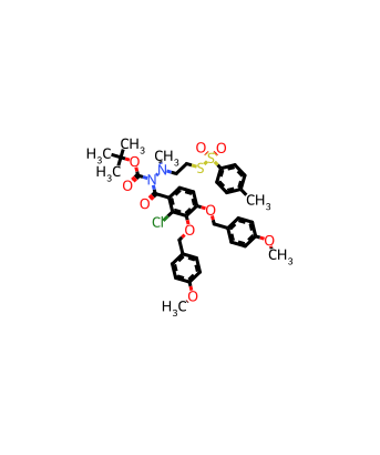 COc1ccc(COc2ccc(C(=O)N(C(=O)OC(C)(C)C)N(C)CCSS(=O)(=O)c3ccc(C)cc3)c(Cl)c2OCc2ccc(OC)cc2)cc1